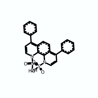 O=S(=O)(O)N1C=CC(c2ccccc2)=c2ccc3c(c21)N(S(=O)(=O)O)C=CC=3c1ccccc1